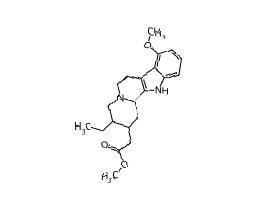 CCC1CN2CCc3c([nH]c4cccc(OC)c34)C2CC1CC(=O)OC